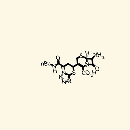 CCCCNC(=O)CCC(Sc1nnn[nH]1)C1=C(C(=O)O)N2C(=O)C(N)[C@@H]2SC1